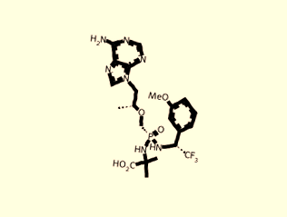 COc1cccc([C@@H](N[P@@](=O)(CO[C@H](C)Cn2cnc3c(N)ncnc32)NC(C)(C)C(=O)O)C(F)(F)F)c1